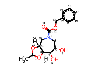 CC1O[C@@H]2[C@H](O)[C@@H](O)CN(C(=O)OCc3ccccc3)C[C@H]2O1